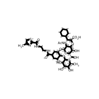 CCC1CC(C(=O)NCCNC(=O)c2nc(C)cs2)C[C@@H](O[C@@H]2O[C@@H](CO)[C@H](O)C(O[C@@H](CC3CCCCC3)C(=O)O)C2NC(C)=O)C1OC1O[C@@H](C)C(O)[C@H](O)[C@@H]1O